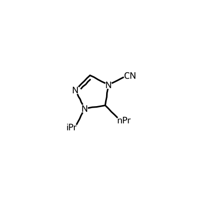 CCCC1N(C#N)C=NN1C(C)C